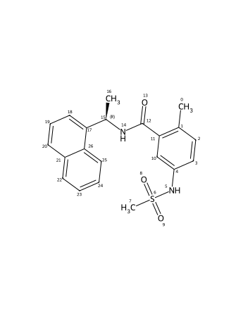 Cc1ccc(NS(C)(=O)=O)cc1C(=O)N[C@H](C)c1cccc2ccccc12